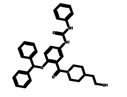 O=C(Nc1ccccc1)Nc1ccc(OC(c2ccccc2)c2ccccc2)c(C(=O)N2CCC(CCO)CC2)c1